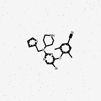 Cc1cc(C#N)cc(C)c1Oc1nc(N(Cc2cccs2)C2CCNCC2)ncc1Br